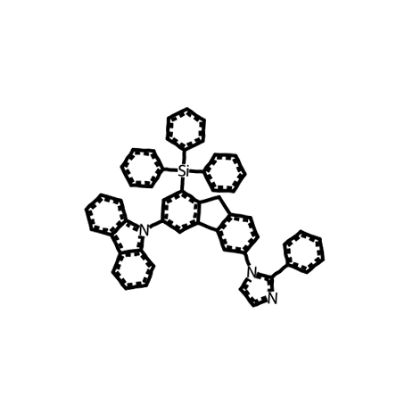 c1ccc(-c2nccn2-c2ccc3c(c2)-c2cc(-n4c5ccccc5c5ccccc54)cc([Si](c4ccccc4)(c4ccccc4)c4ccccc4)c2C3)cc1